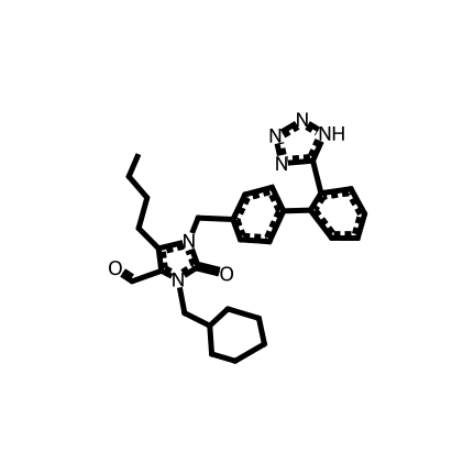 CCCCc1c(C=O)n(CC2CCCCC2)c(=O)n1Cc1ccc(-c2ccccc2-c2nnn[nH]2)cc1